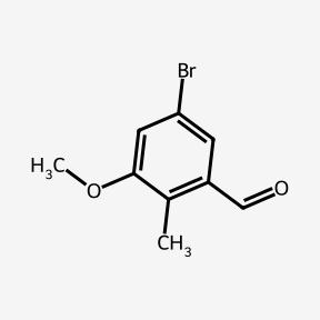 COc1cc(Br)cc(C=O)c1C